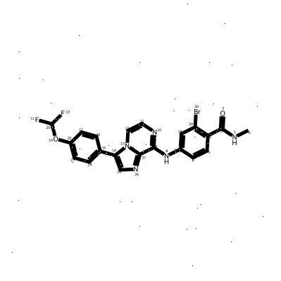 CNC(=O)c1ccc(Nc2nccn3c(-c4ccc(OC(F)F)cc4)cnc23)cc1Br